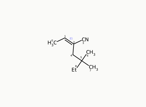 C/C=C(/C#N)CC(C)(C)CC